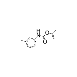 C=C(C)OC(=O)Nc1cccc(C)c1